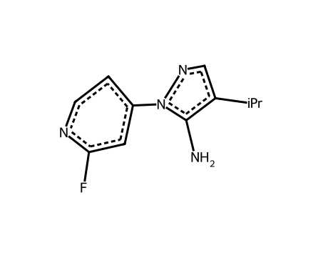 CC(C)c1cnn(-c2ccnc(F)c2)c1N